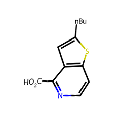 CCCCc1cc2c(C(=O)O)nccc2s1